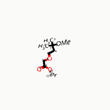 COC(C)(C)CCOCC(=O)OC(C)C